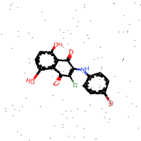 O=C1C(Cl)=C(Nc2ccc(Br)cc2)C(=O)c2c(O)ccc(O)c21